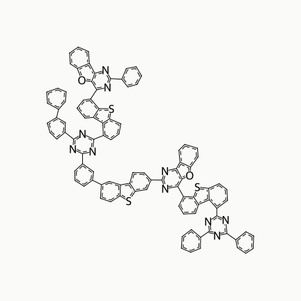 c1ccc(-c2cccc(-c3nc(-c4cccc(-c5ccc6sc7cc(-c8nc(-c9cccc%10c9sc9cccc(-c%11nc(-c%12ccccc%12)nc(-c%12ccccc%12)n%11)c9%10)c9oc%10ccccc%10c9n8)ccc7c6c5)c4)nc(-c4cccc5sc6c(-c7nc(-c8ccccc8)nc8c7oc7ccccc78)cccc6c45)n3)c2)cc1